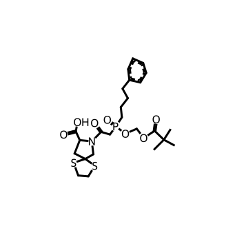 CC(C)(C)C(=O)OCOP(=O)(CCCCc1ccccc1)CC(=O)N1CC2(CC1C(=O)O)SCCS2